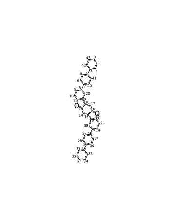 c1ccc(-c2ccc(-c3ccc4oc5cc6c(cc5c4c3)oc3ccc(-c4ccc(-c5ccccc5)cc4)cc36)cc2)cc1